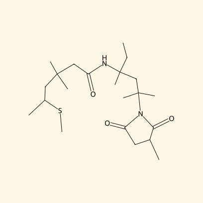 CCC(C)(CC(C)(C)N1C(=O)CC(C)C1=O)NC(=O)CC(C)(C)CC(C)SC